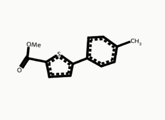 COC(=O)c1ccc(-c2ccc(C)cc2)s1